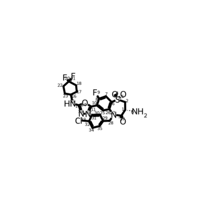 N[C@H]1CS(=O)(=O)c2cc(F)c(-c3nnc(NC4CCC(F)(F)CC4)o3)cc2N(Cc2ccc(Cl)cc2)C1=O